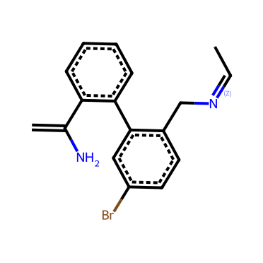 C=C(N)c1ccccc1-c1cc(Br)ccc1C/N=C\C